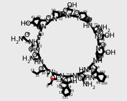 CCCC[C@H]1C(=O)N(C)[C@@H](CCCC)C(=O)N[C@@H](CN)C(=O)N[C@H](C(=O)NCC(N)=O)CSCC(=O)N[C@@H](Cc2ccc(O)cc2)C(=O)N2CCC[C@H]2C(=O)N[C@@H](CC(=O)O)C(=O)N2CCC[C@H]2C(=O)N[C@@H](CN)C(=O)N[C@@H](CC(=O)O)C(=O)N2C[C@H](O)C[C@H]2C(=O)N[C@@H](Cc2c[nH]c3ccccc23)C(=O)N[C@@H](CCN)C(=O)N[C@@H](Cc2csc3ccccc23)C(=O)N1C